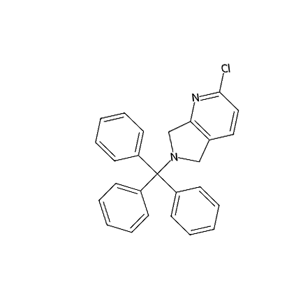 Clc1ccc2c(n1)CN(C(c1ccccc1)(c1ccccc1)c1ccccc1)C2